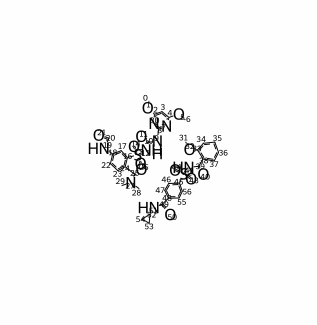 COc1cc(OC)nc(NC(=O)NS(=O)(=O)c2cc(NC=O)ccc2C(=O)N(C)C)n1.COc1ccccc1C(=O)NS(=O)(=O)c1ccc(C(=O)NC2CC2)cc1